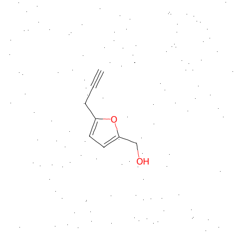 C#CCc1ccc(CO)o1